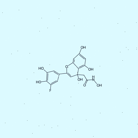 O=C(CC1(O)C=C(c2cc(O)c(O)c(F)c2)Oc2cc(O)cc(O)c21)NO